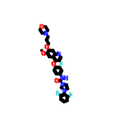 COc1cc2c(Oc3ccc(NC(=O)N4C=CN(c5c(F)cccc5F)C4)cc3F)ccnc2cc1OCCCN1CCOCC1